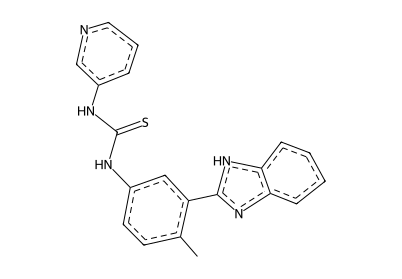 Cc1ccc(NC(=S)Nc2cccnc2)cc1-c1nc2ccccc2[nH]1